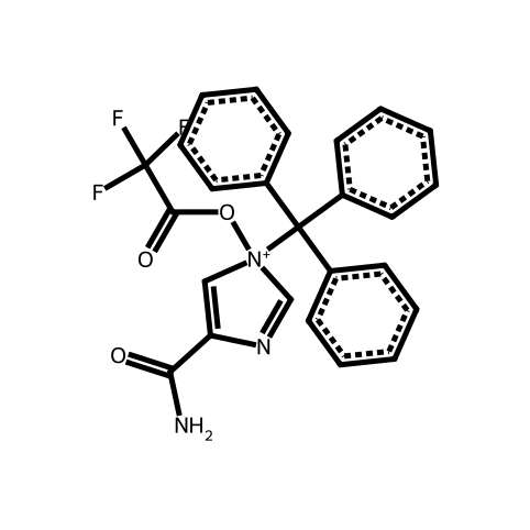 NC(=O)C1=C[N+](OC(=O)C(F)(F)F)(C(c2ccccc2)(c2ccccc2)c2ccccc2)C=N1